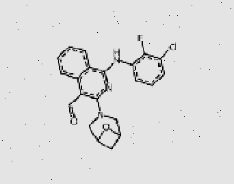 O=Cc1c(N2CC3CC(C2)O3)nc(Nc2cccc(Cl)c2F)c2ccccc12